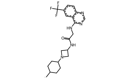 [CH2]C1CCC(N2CC(NC(=O)CNc3ncnc4ccc(C(F)(F)F)cc34)C2)CC1